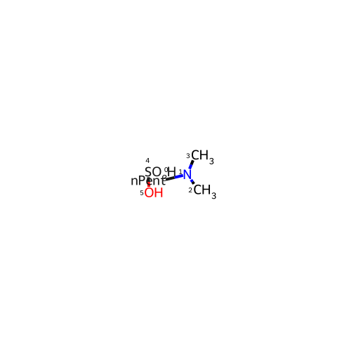 CCCCCN(C)C.O=S(=O)(O)O